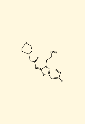 COCCn1c(=NC(=O)CC2CCOCC2)sc2cc(F)ccc21